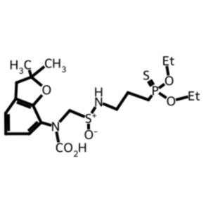 CCOP(=S)(CCCN[S+]([O-])CN(C(=O)O)c1cccc2c1OC(C)(C)C2)OCC